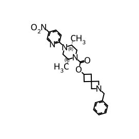 C[C@@H]1CN(c2ccc([N+](=O)[O-])cn2)[C@H](C)CN1C(=O)OC1CC2(C1)CN(Cc1ccccc1)C2